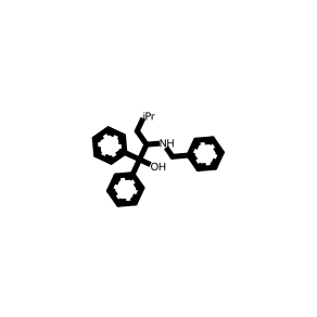 CC(C)CC(NCc1ccccc1)C(O)(c1ccccc1)c1ccccc1